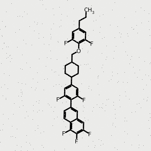 CCCc1cc(F)c(OCC2CCC(c3cc(F)c(-c4ccc5c(F)c(F)c(F)cc5c4)c(F)c3)CC2)c(F)c1